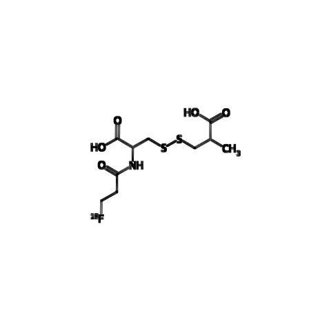 CC(CSSCC(NC(=O)CC[18F])C(=O)O)C(=O)O